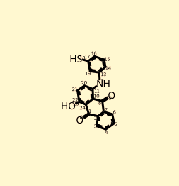 O=C1c2ccccc2C(=O)c2c(Nc3cccc(S)c3)ccc(O)c21